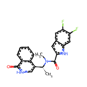 C[C@H](c1c[nH]c(=O)c2ccccc12)N(C)C(=O)c1cc2cc(F)c(F)cc2[nH]1